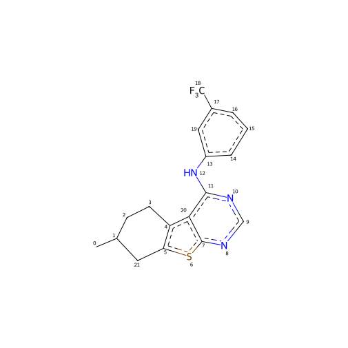 CC1CCc2c(sc3ncnc(Nc4cccc(C(F)(F)F)c4)c23)C1